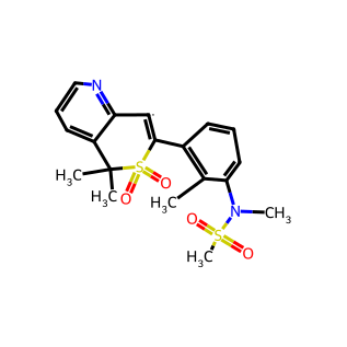 Cc1c(C2=[C]c3ncccc3C(C)(C)S2(=O)=O)cccc1N(C)S(C)(=O)=O